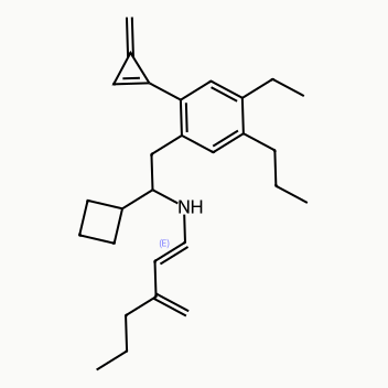 C=C(/C=C/NC(Cc1cc(CCC)c(CC)cc1C1=CC1=C)C1CCC1)CCC